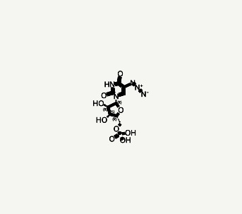 [N-]=[N+]=Nc1cn([C@@H]2O[C@H](COP(=O)(O)O)[C@@H](O)[C@H]2O)c(=O)[nH]c1=O